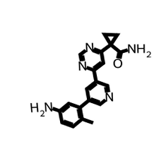 Cc1ccc(N)cc1-c1cncc(-c2cc(C3(C(N)=O)CC3)ncn2)c1